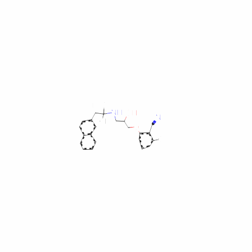 Cc1cccc(OCC(O)CNC(C)(C)Cc2ccc3ccccc3c2)c1C#N